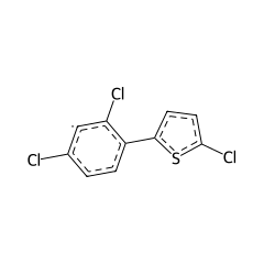 Clc1[c]c(Cl)c(-c2ccc(Cl)s2)cc1